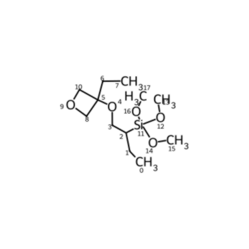 CCC(COC1(CC)COC1)[Si](OC)(OC)OC